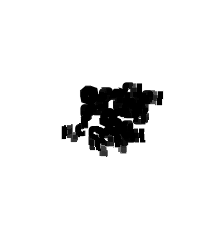 CCC(C)c1cc(S(=O)(=O)O)cc2c(C(C)CC)cccc12.CCCCOC(=O)c1ccccc1C(=O)OCCCC.Oc1nc(Cl)nc(Cl)n1